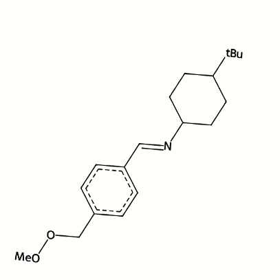 COOCc1ccc(/C=N/C2CCC(C(C)(C)C)CC2)cc1